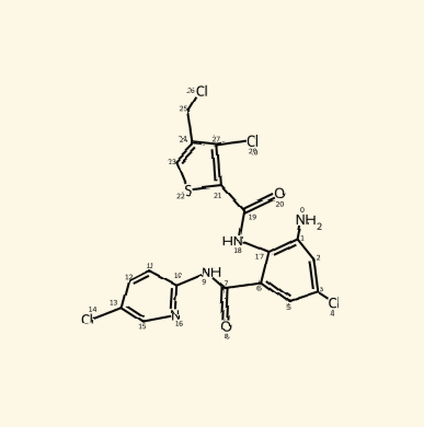 Nc1cc(Cl)cc(C(=O)Nc2ccc(Cl)cn2)c1NC(=O)c1scc(CCl)c1Cl